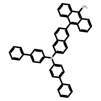 Cc1c2ccccc2c(-c2ccc3cc(N(c4ccc(-c5ccccc5)cc4)c4ccc(-c5ccccc5)cc4)ccc3c2)c2ccccc12